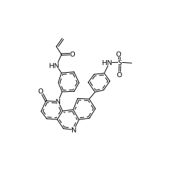 C=CC(=O)Nc1cccc(-n2c(=O)ccc3cnc4ccc(-c5ccc(NS(C)(=O)=O)cc5)cc4c32)c1